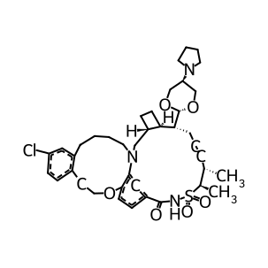 C[C@@H]1[C@@H](C)CCC[C@@H]([C@H]2OC[C@H](N3CCCC3)CO2)[C@@H]2CC[C@H]2CN2CCCCc3cc(Cl)ccc3CCOc3ccc(cc32)C(=O)NS1(=O)=O